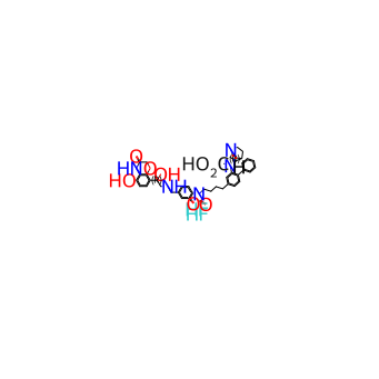 F.F.O=C1COc2c([C@@H](O)CNCc3ccc4c(c3)oc(=O)n4CCCCc3ccc(-c4ccccc4)c(N(C(=O)O)[C@H]4CN5CCC4CC5)c3)ccc(O)c2N1